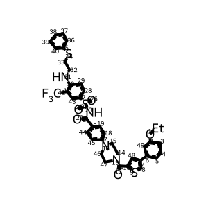 CCOc1cccc(-c2csc(C(=O)N3CCN(c4ccc(C(=O)NS(=O)(=O)c5ccc(NCCSc6ccccc6)c(C(F)(F)F)c5)cc4)CC3)c2)c1